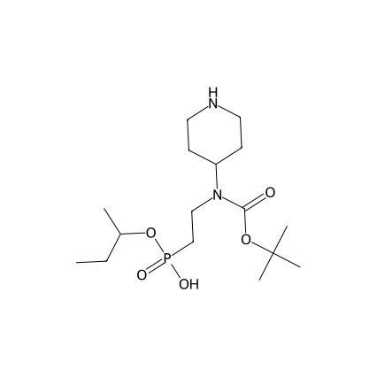 CCC(C)OP(=O)(O)CCN(C(=O)OC(C)(C)C)C1CCNCC1